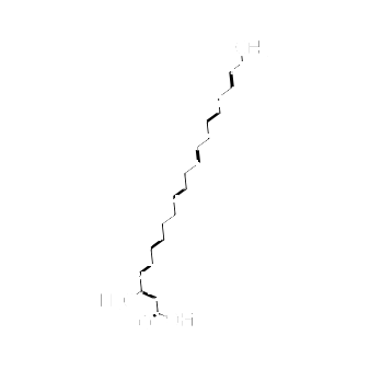 CCC=CCC=CCC=CCC=CCCC=CC=CC(C)=CC(=O)O